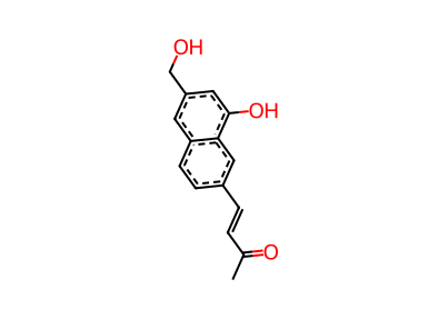 CC(=O)/C=C/c1ccc2cc(CO)cc(O)c2c1